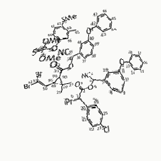 CC(C)C(C(=O)OC(C#N)c1cccc(Oc2ccccc2)c1)c1ccc(Cl)cc1.CC1(C)[C@H](C(=O)O[C@H](C#N)c2cccc(Oc3ccccc3)c2)[C@@H]1C=C(Br)Br.COP(=S)(OC)Oc1ccc(SC)c(C)c1